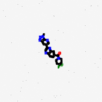 Cn1nnc2cc(-c3cnc4ccc(C(=O)N5CCC(F)(F)CC5)cc4n3)cnc21